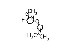 COc1nc(OC2CCN(C(C)C)C2)ccc1F